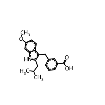 COc1ccc2c(Cc3cccc(C(=O)O)c3)c(CC(C)C)[nH]c2c1